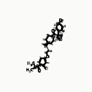 CN(C)C(=O)c1ccc(OCC[C@@H]2CC23CCN(C(=O)C2(c4ccc(Br)cc4)COC2)CC3)cc1Cl